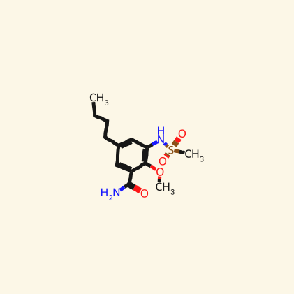 CCCCc1cc(NS(C)(=O)=O)c(OC)c(C(N)=O)c1